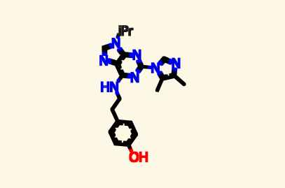 Cc1ncn(-c2nc(NCCc3ccc(O)cc3)c3ncn(C(C)C)c3n2)c1C